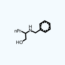 CCCC(CO)NCc1ccccc1